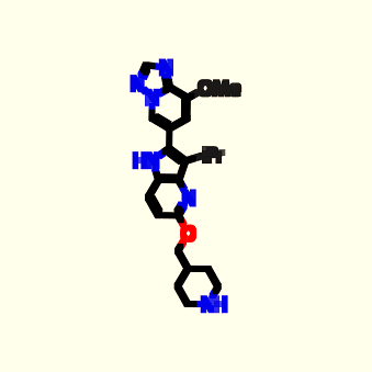 COc1cc(-c2[nH]c3ccc(OCC4CCNCC4)nc3c2C(C)C)cn2ncnc12